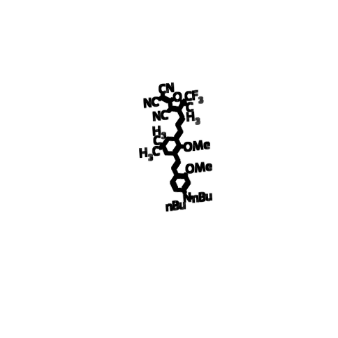 CCCCN(CCCC)c1ccc(C=CC2=C(OC)C(=CC=CC3=C(C#N)C(=C(C#N)C#N)OC3(C)C(F)(F)F)CC(C)(C)C2)c(OC)c1